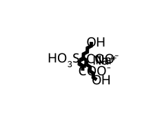 O=C([O-])c1cc(S(=O)(=O)O)c(CCCCO)c(C(=O)[O-])c1CCCCO.[Na+].[Na+]